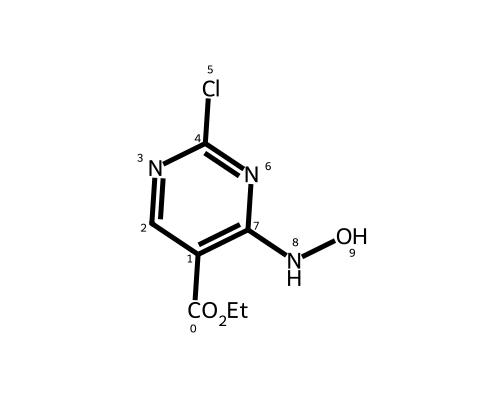 CCOC(=O)c1cnc(Cl)nc1NO